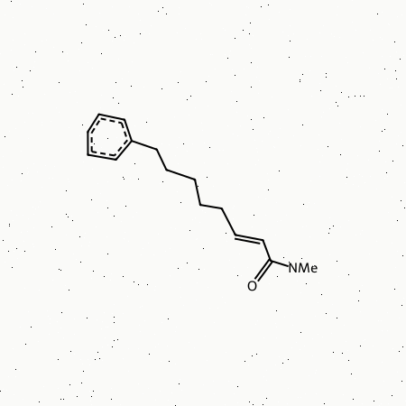 CNC(=O)/C=C/CCCCCc1ccccc1